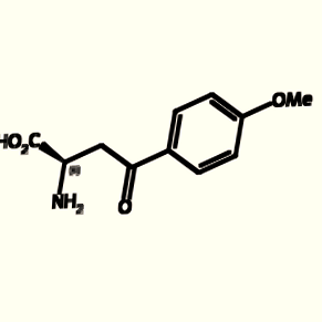 COc1ccc(C(=O)C[C@@H](N)C(=O)O)cc1